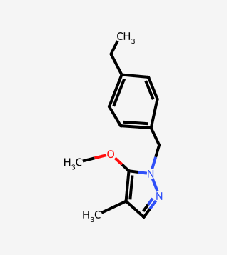 CCc1ccc(Cn2ncc(C)c2OC)cc1